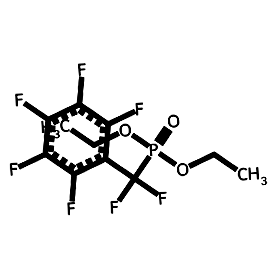 CCOP(=O)(OCC)C(F)(F)c1c(F)c(F)c(F)c(F)c1F